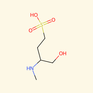 CNC(CO)CCS(=O)(=O)O